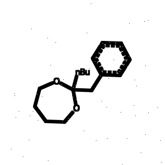 CCCCC1(Cc2ccccc2)OCCCCO1